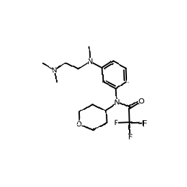 CN(C)CCN(C)c1cc[c]c(N(C(=O)C(F)(F)F)C2CCOCC2)c1